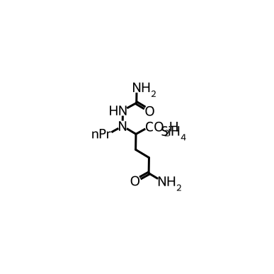 CCCN(NC(N)=O)C(CCC(N)=O)C(=O)O.[SiH4]